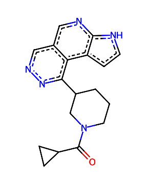 O=C(C1CC1)N1CCCC(c2nncc3cnc4[nH]ccc4c23)C1